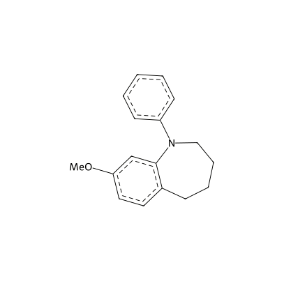 COc1ccc2c(c1)N(c1ccccc1)CCCC2